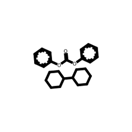 C1CCC(C2CCCCC2)CC1.O=C(Oc1ccccc1)Oc1ccccc1